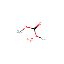 O.O=C(OC(Cl)(Cl)Cl)OC(Cl)(Cl)Cl